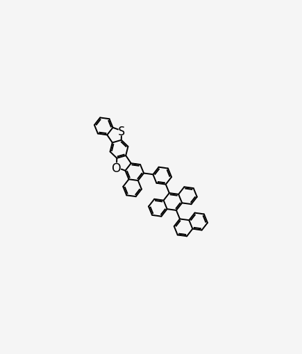 c1cc(-c2c3ccccc3c(-c3cccc4ccccc34)c3ccccc23)cc(-c2cc3c4cc5sc6ccccc6c5cc4oc3c3ccccc23)c1